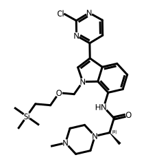 C[C@H](C(=O)Nc1cccc2c(-c3ccnc(Cl)n3)cn(COCC[Si](C)(C)C)c12)N1CCN(C)CC1